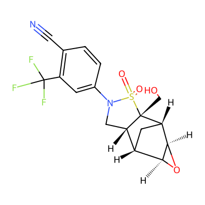 N#Cc1ccc(N2C[C@H]3[C@@H]4C[C@@H]([C@H]5O[C@@H]45)[C@@]3(CO)S2(=O)=O)cc1C(F)(F)F